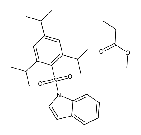 CC(C)c1cc(C(C)C)c(S(=O)(=O)n2ccc3ccccc32)c(C(C)C)c1.CCC(=O)OC